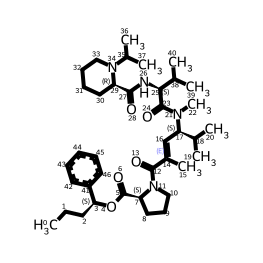 CCC[C@H](OC(=O)[C@@H]1CCCN1C(=O)/C(C)=C/[C@H](C(C)C)N(C)C(=O)[C@@H](NC(=O)[C@H]1CCCCN1C(C)C)C(C)C)c1ccccc1